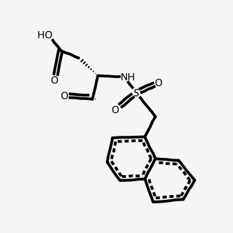 O=[C][C@H](CC(=O)O)NS(=O)(=O)Cc1cccc2ccccc12